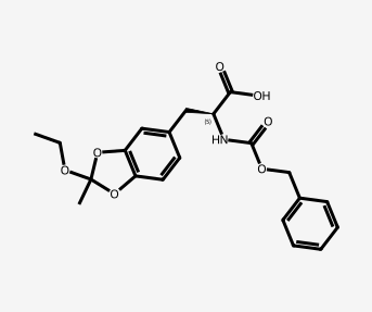 CCOC1(C)Oc2ccc(C[C@H](NC(=O)OCc3ccccc3)C(=O)O)cc2O1